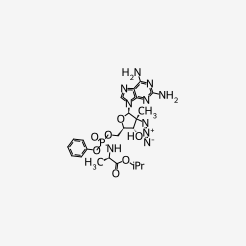 CC(C)OC(=O)[C@@H](C)N[P@](=O)(OC[C@H]1O[C@@H](n2cnc3c(N)nc(N)nc32)[C@](C)(N=[N+]=[N-])[C@@H]1O)Oc1ccccc1